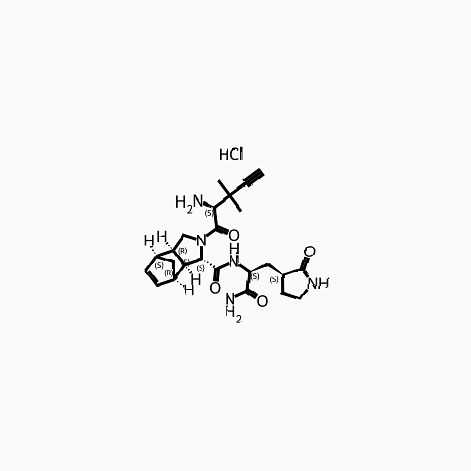 C#CC(C)(C)[C@H](N)C(=O)N1C[C@H]2[C@@H]([C@H]1C(=O)N[C@@H](C[C@@H]1CCNC1=O)C(N)=O)[C@H]1C=C[C@@H]2C1.Cl